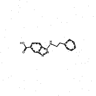 O=C(O)c1ccc2c(c1)nnn2NCCc1ccccc1